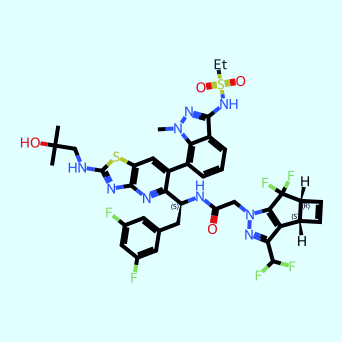 CCS(=O)(=O)Nc1nn(C)c2c(-c3cc4sc(NCC(C)(C)O)nc4nc3[C@H](Cc3cc(F)cc(F)c3)NC(=O)Cn3nc(C(F)F)c4c3C(F)(F)[C@@H]3C=C[C@H]43)cccc12